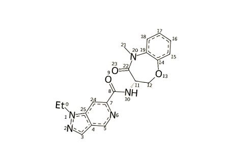 CCn1ncc2cnc(C(=O)N[C@H]3COc4ccccc4N(C)C3=O)cc21